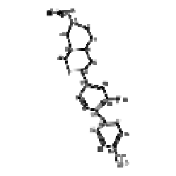 CCCCCCCC1CCC2CC(c3ccc(-c4ccc(C(F)(F)F)cc4)c(F)c3)CCC2C1